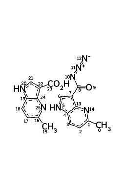 Cc1ccc2[nH]cc(C(=O)N=[N+]=[N-])c2n1.Cc1ccc2[nH]cc(C(=O)O)c2n1